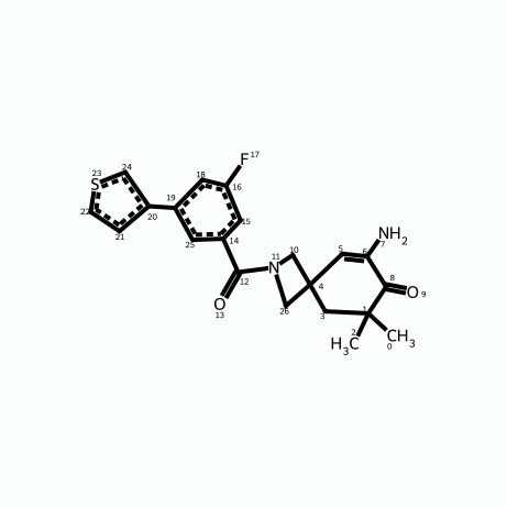 CC1(C)CC2(C=C(N)C1=O)CN(C(=O)c1cc(F)cc(-c3ccsc3)c1)C2